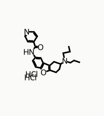 CCCN(CCC)C1CCc2oc3ccc(NC(=O)c4ccncc4)cc3c2C1.Cl.Cl